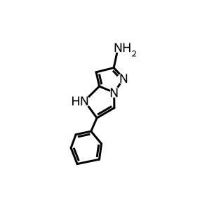 Nc1cc2[nH]c(-c3ccccc3)cn2n1